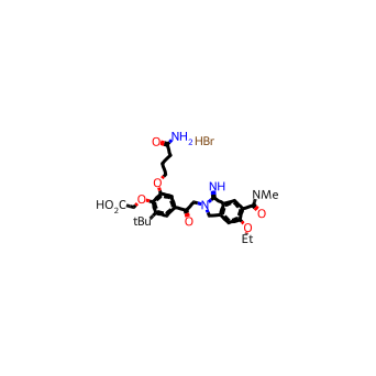 Br.CCOc1cc2c(cc1C(=O)NC)C(=N)N(CC(=O)c1cc(OCCCC(N)=O)c(OCC(=O)O)c(C(C)(C)C)c1)C2